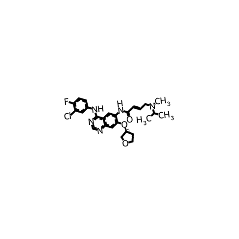 CC(C)N(C)CC=CC(=O)Nc1cc2c(Nc3ccc(F)c(Cl)c3)ncnc2cc1O[C@H]1CCOC1